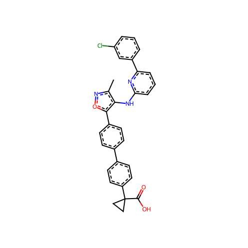 Cc1noc(-c2ccc(-c3ccc(C4(C(=O)O)CC4)cc3)cc2)c1Nc1cccc(-c2cccc(Cl)c2)n1